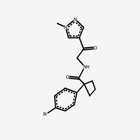 Cn1cc(C(=O)CNC(=O)C2(c3ccc(Br)cc3)CCC2)cn1